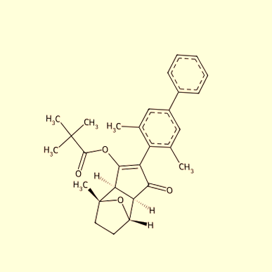 Cc1cc(-c2ccccc2)cc(C)c1C1=C(OC(=O)C(C)(C)C)[C@H]2[C@@H](C1=O)[C@@H]1CC[C@@]2(C)O1